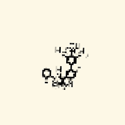 CC(Nc1c(Cl)cnc2cc(F)c(-c3cc(F)c(C(C)(C)O)c(F)c3)cc12)c1ccccc1F